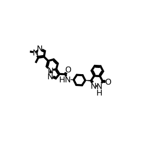 Cc1c(-c2ccc3c(C(=O)N[C@H]4CC[C@H](c5n[nH]c(=O)c6ccccc65)CC4)cnn3c2)cnn1C